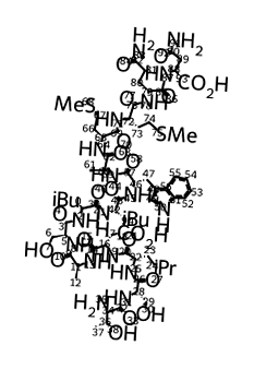 CC[C@H](C)[C@H](NC(=O)[C@H](CO)NC(=O)[C@H](C)NC(=O)[C@H](CC(=O)O)NC(=O)[C@H](CC(C)C)NC(=O)[C@H](CO)NC(=O)[C@@H](N)[C@@H](C)O)C(=O)N[C@H](C(=O)N[C@@H](Cc1c[nH]c2ccccc12)C(=O)N[C@@H](C)C(=O)N[C@@H](CCSC)C(=O)N[C@@H](CCSC)C(=O)N[C@@H](CCC(N)=O)C(=O)NC(CC(N)=O)C(=O)O)[C@@H](C)CC